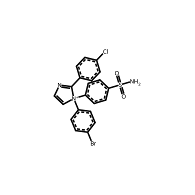 NS(=O)(=O)c1ccc([N+]2(c3ccc(Br)cc3)C=CN=C2c2ccc(Cl)cc2)cc1